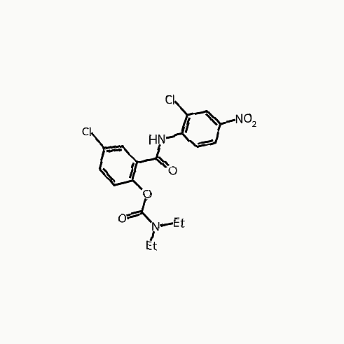 CCN(CC)C(=O)Oc1ccc(Cl)cc1C(=O)Nc1ccc([N+](=O)[O-])cc1Cl